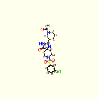 CCC(=O)N1CCCC(C2=NC3(CCN(S(=O)(=O)c4cccc(Cl)c4)CC3)C(=O)N2)C1